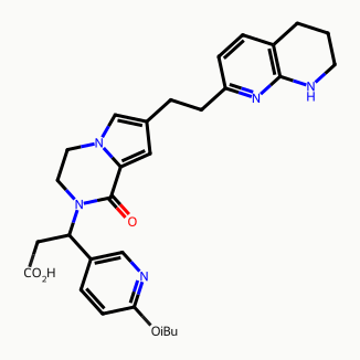 CC(C)COc1ccc(C(CC(=O)O)N2CCn3cc(CCc4ccc5c(n4)NCCC5)cc3C2=O)cn1